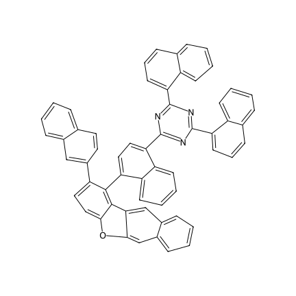 c1ccc2cc(-c3ccc4oc5cc6ccccc6cc5c4c3-c3ccc(-c4nc(-c5cccc6ccccc56)nc(-c5cccc6ccccc56)n4)c4ccccc34)ccc2c1